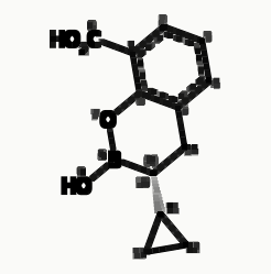 O=C(O)c1cccc2c1OB(O)[C@@H](C1CC1)C2